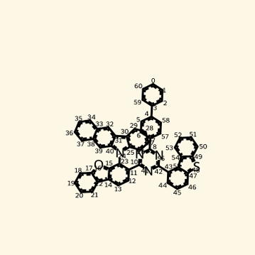 c1ccc(-c2ccc(-c3nc(-c4ccc5c(oc6ccccc65)c4-n4c5ccccc5c5cc6ccccc6cc54)nc(-c4cccc5sc6ccccc6c45)n3)cc2)cc1